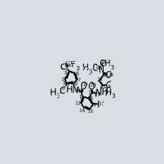 Cc1cc(OC(F)(F)F)ccc1NC(=O)c1cccc(I)c1C(=O)NC(C)CC(=O)N(C)C